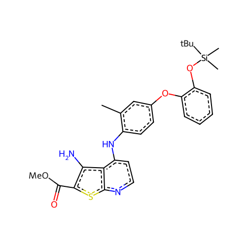 COC(=O)c1sc2nccc(Nc3ccc(Oc4ccccc4O[Si](C)(C)C(C)(C)C)cc3C)c2c1N